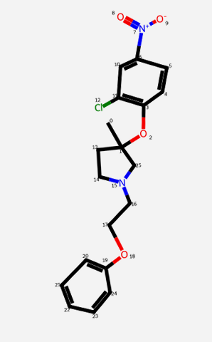 CC1(Oc2ccc([N+](=O)[O-])cc2Cl)CCN(CCOc2ccccc2)C1